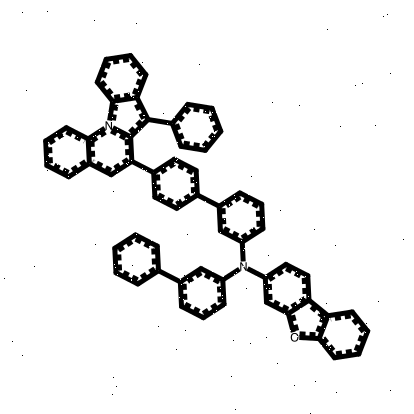 c1ccc(-c2cccc(N(c3cccc(-c4ccc(-c5cc6ccccc6n6c5c(-c5ccccc5)c5ccccc56)cc4)c3)c3ccc4c(c3)oc3ccccc34)c2)cc1